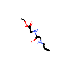 C=CCNCC(=O)NCC(=O)OCC